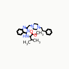 COC(=O)[C@@H](Nc1nc(CN2CCN(CCc3ccccc3)CC2)nc2ccccc12)C(C)C